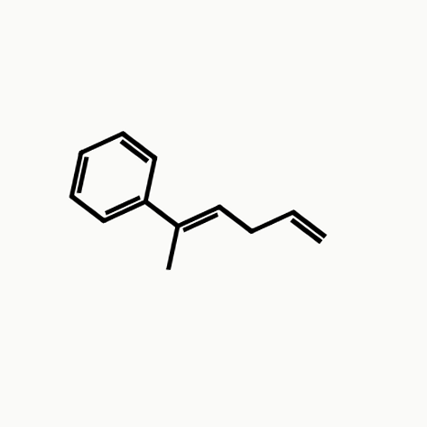 C=CCC=C(C)c1ccccc1